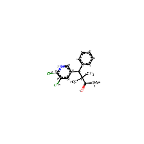 COC(=O)C(C)(C)C(c1ccccc1)c1cnc(Cl)c(Cl)c1